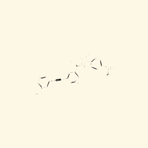 COc1cccc(C#Cc2cncc(C(=O)N=S(C)(=O)c3ccc(NC(C)=O)cc3)c2)c1